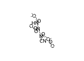 Cc1ccc(CCC(=O)NCCCN(CCCCN(CCC#N)C(=O)CCc2ccc(OCc3ccccc3)c(C)c2)C(=O)OCc2ccccc2)cc1C